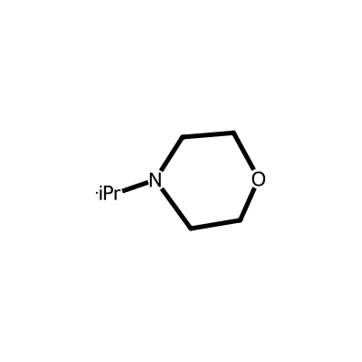 C[C](C)N1CCOCC1